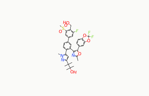 Cc1nc(-c2cc(-c3cc(F)c(CO)c(S(C)(=O)=O)c3)ccc2-c2cc(C(C)(C)C(C)(C)O)nn2C)c(-c2ccc3c(c2)OC(F)(F)O3)o1